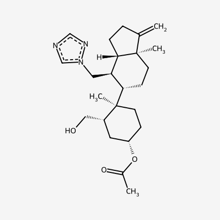 C=C1CC[C@H]2[C@H](Cn3cncn3)[C@@H]([C@@]3(C)CC[C@H](OC(C)=O)C[C@@H]3CO)CC[C@]12C